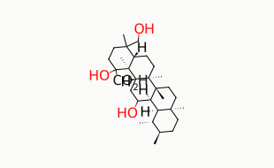 C[C@@H]1[C@H]2[C@H]3C(O)C[C@@H]4[C@]5(C)[C@@H](CC[C@@]4(C)[C@]3(C)CC[C@@]2(C)CC[C@H]1C)C(C)(CO)CCC5(O)C(=O)O